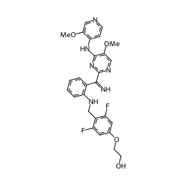 COc1cnccc1Nc1nc(C(=N)c2ccccc2NCc2c(F)cc(OCCO)cc2F)ncc1OC